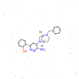 Nc1nnc(-c2ccccc2O)cc1N1C[C@@H]2C[C@H]1CCN2Cc1ccccc1